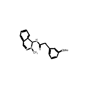 COc1cccc(CC(=O)NC2c3ccccc3C=NN2C)c1